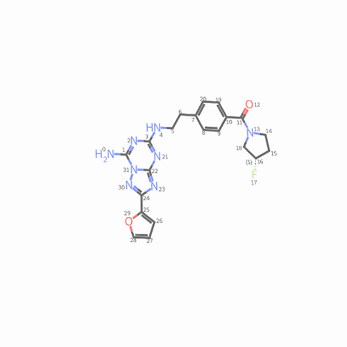 Nc1nc(NCCc2ccc(C(=O)N3CC[C@H](F)C3)cc2)nc2nc(-c3ccco3)nn12